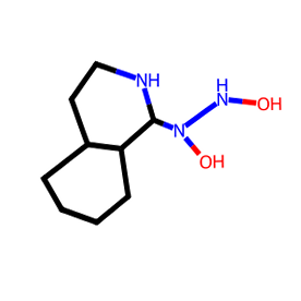 ONN(O)C1NCCC2CCCCC21